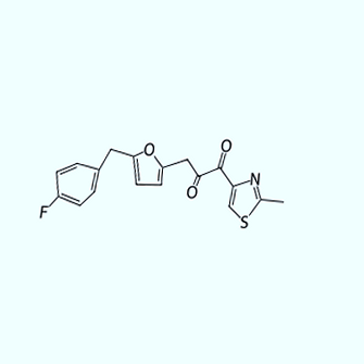 Cc1nc(C(=O)C(=O)Cc2ccc(Cc3ccc(F)cc3)o2)cs1